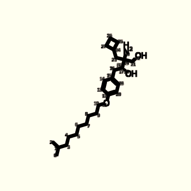 CC(C)CCCCCCCCOc1ccc(C[C@H](O)C(N)(CO)CC2CCC2)cc1